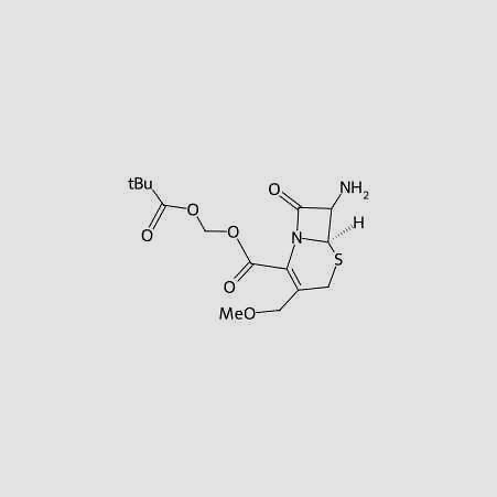 COCC1=C(C(=O)OCOC(=O)C(C)(C)C)N2C(=O)C(N)[C@H]2SC1